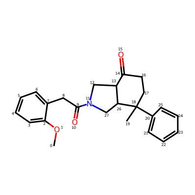 COc1ccccc1CC(=O)N1CC2C(=O)CCC(C)(c3ccccc3)C2C1